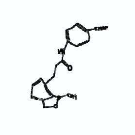 COc1ccc(NC(=O)CCc2cccc3c2B(O)OC3)cc1